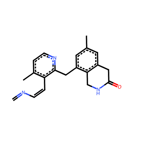 C=N/C=C\c1c(C)ccnc1Cc1cc(C)cc2c1CNC(=O)C2